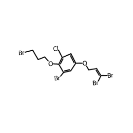 Clc1cc(OCC=C(Br)Br)cc(Br)c1OCCCBr